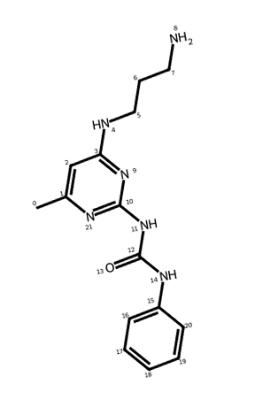 Cc1cc(NCCCN)nc(NC(=O)Nc2ccccc2)n1